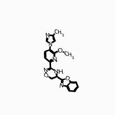 COc1nc(C2=NOCC(c3nc4ccccc4o3)N2)ccc1-n1cnc(C)c1